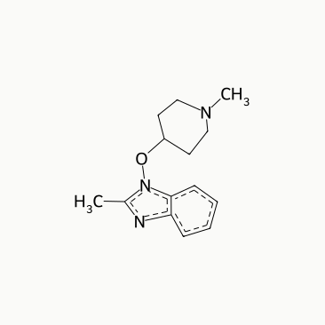 Cc1nc2ccccc2n1OC1CCN(C)CC1